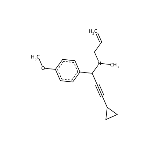 C=CCN(C)C(C#CC1CC1)c1ccc(OC)cc1